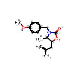 C=C(C)CC1OC(=O)N(Cc2ccc(OC)cc2)C1C